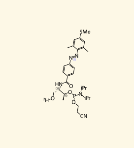 [2H]OC[C@H](NC(=O)c1ccc(/N=N/c2c(C)cc(SC)cc2C)cc1)[C@H](C)OP(OCCC#N)N(C(C)C)C(C)C